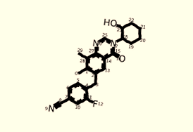 Cc1c(Cc2ccc(C#N)cc2F)cc2c(=O)n(C3CCCCC3O)cnc2c1C